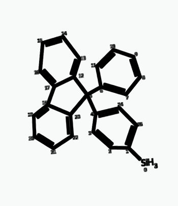 [SiH3]c1ccc(C2(c3ccccc3)c3ccccc3-c3ccccc32)cc1